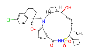 C[C@H]1C/C=C/[C@H](O)[C@@H]2CC[C@H]2CN2C[C@@]3(CCCc4cc(Cl)ccc43)COc3ccc(cc32)C(=O)NS(=O)(=O)[C@@H]1C1CCC1